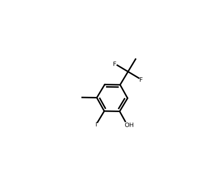 Cc1cc(C(C)(F)F)cc(O)c1I